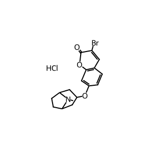 CN1C2CCC1CC(Oc1ccc3cc(Br)c(=O)oc3c1)C2.Cl